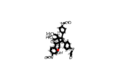 O=C=Nc1ccc(C(=O)C(CO)(CO)C(CCO)(C(=O)c2ccc(N=C=O)cc2)C(=O)c2ccc(N=C=O)cc2)cc1